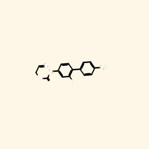 Nc1ccc(-c2ccc(N3N=CCOC3=O)cc2F)cc1